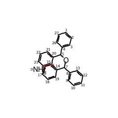 N.c1ccc(C(OC(c2ccccc2)c2ccccc2)c2ccccc2)cc1